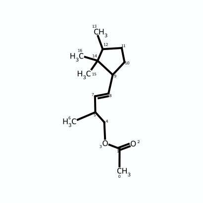 CC(=O)OCC(C)C=CC1CCC(C)C1(C)C